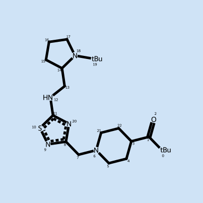 CC(C)(C)C(=O)C1CCN(Cc2nsc(NCC3CCCN3C(C)(C)C)n2)CC1